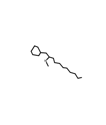 CCCCCCCCCC(CC1CCCCC1)[N]C